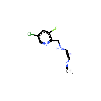 C=N/C=C\NCc1ncc(Cl)cc1F